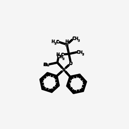 CCC(C)C(C)[Si](OC(C)(C)[SiH](C)C)(c1ccccc1)c1ccccc1